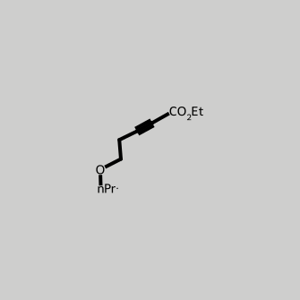 CC[CH]OCCC#CC(=O)OCC